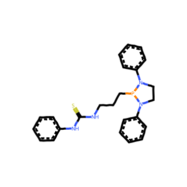 S=C(NCCCP1N(c2ccccc2)CCN1c1ccccc1)Nc1ccccc1